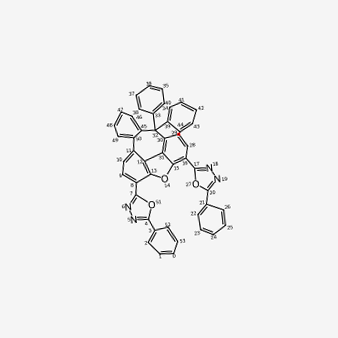 c1ccc(-c2nnc(-c3ccc4c5c3oc3c(-c6nnc(-c7ccccc7)o6)ccc(c35)C(c3ccccc3)(c3ccccc3)c3ccccc3-4)o2)cc1